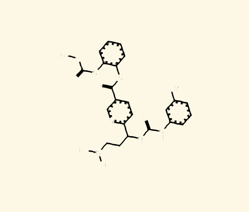 COc1cccc(NC(=O)NC(CCN(C)C)c2ccc(C(=O)Nc3ccccc3NC(=O)OC(C)(C)C)cn2)c1